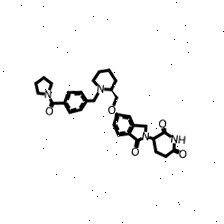 O=C1CCC(N2Cc3cc(OC[C@@H]4CCCCN4Cc4ccc(C(=O)N5CCCC5)cc4)ccc3C2=O)C(=O)N1